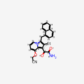 CCc1c(C(=O)C(N)=O)c2c(OCC#N)cccn2c1Cc1cccc2ccccc12